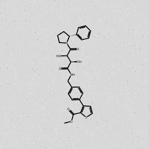 COC(=O)c1sccc1-c1ccc(CNC(=O)[C@H](O)C(O)C(=O)N2CCC[C@@H]2c2ccccc2)cc1